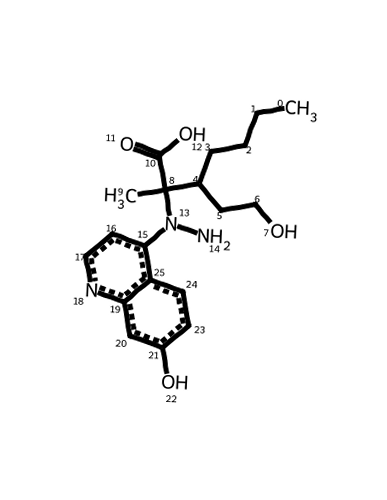 CCCCC(CCO)C(C)(C(=O)O)N(N)c1ccnc2cc(O)ccc12